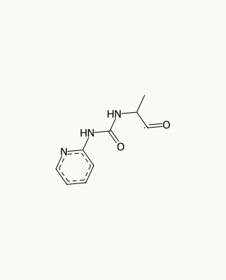 CC([C]=O)NC(=O)Nc1ccccn1